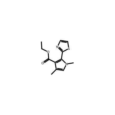 CCOC(=O)c1c(C)cn(C)c1-c1nccs1